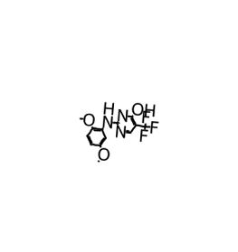 COc1ccc(OC)c(Nc2ncc(C(F)(F)F)c(O)n2)c1